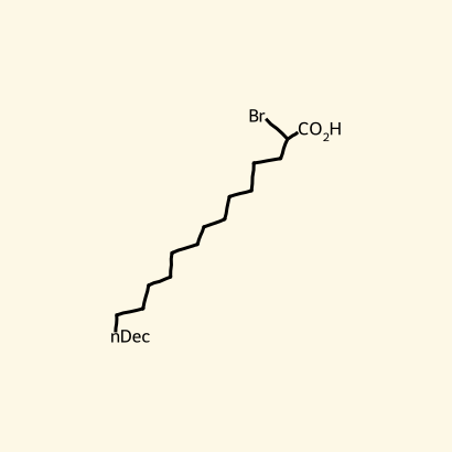 CCCCCCCCCCCCCCCCCCCCCCC(Br)C(=O)O